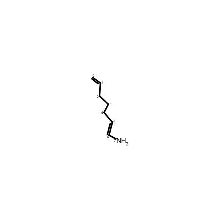 C=CCCCC=CN